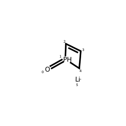 O=[PH]1C=CC1.[Li]